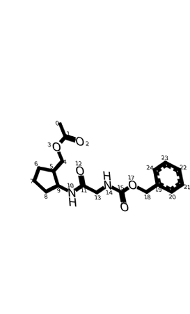 CC(=O)OCC1CCCC1NC(=O)CNC(=O)OCc1ccccc1